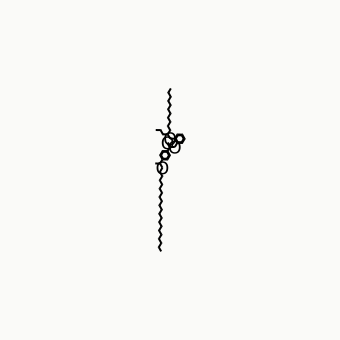 CCCCCCCCCCCCCCCCCCCCOC(C)c1ccc(C(=O)Oc2ccccc2OC(CCC)CCCCCCCCCCC)cc1